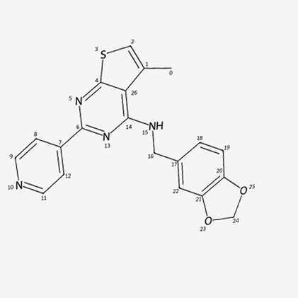 Cc1csc2nc(-c3ccncc3)nc(NCc3ccc4c(c3)OCO4)c12